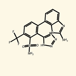 Nc1nc2cccc(-c3ccc(C(F)(F)F)c(S(N)(=O)=O)c3-c3nnn[nH]3)c2[nH]1